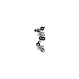 Cc1ccc(-n2nc(C(C)(C)C)cc2NC(=O)Nc2ccc(OCc3ccnc(NC(=O)N4CCOCC4)c3)c3ccccc23)cc1